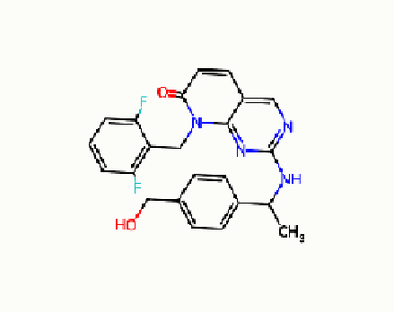 CC(Nc1ncc2ccc(=O)n(Cc3c(F)cccc3F)c2n1)c1ccc(CO)cc1